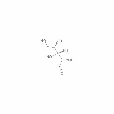 N[C@@](O)([C@H](O)CO)[C@@H](O)C=O